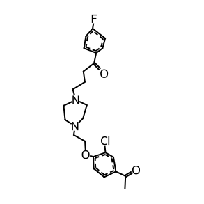 CC(=O)c1ccc(OCCN2CCN(CCCC(=O)c3ccc(F)cc3)CC2)c(Cl)c1